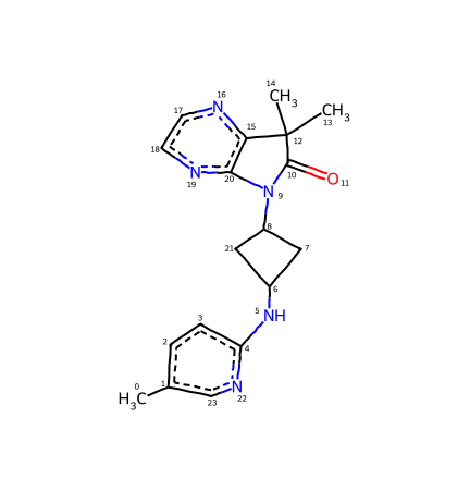 Cc1ccc(NC2CC(N3C(=O)C(C)(C)c4nccnc43)C2)nc1